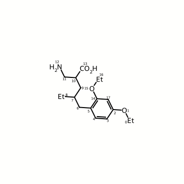 CCOc1ccc(CC(CC)CC(CN)C(=O)O)c(OCC)c1